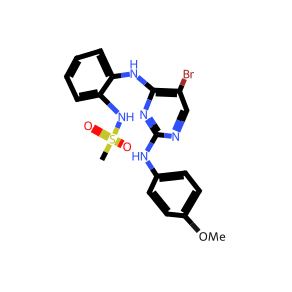 COc1ccc(Nc2ncc(Br)c(Nc3ccccc3NS(C)(=O)=O)n2)cc1